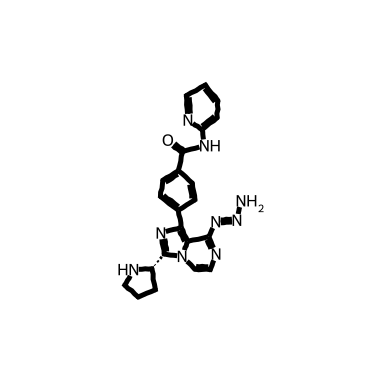 NN=Nc1nccn2c([C@@H]3CCCN3)nc(-c3ccc(C(=O)Nc4ccccn4)cc3)c12